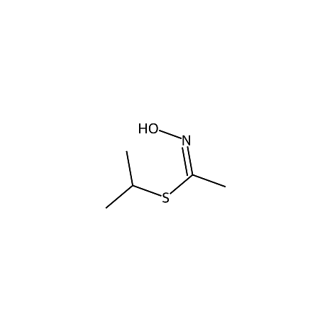 CC(=NO)SC(C)C